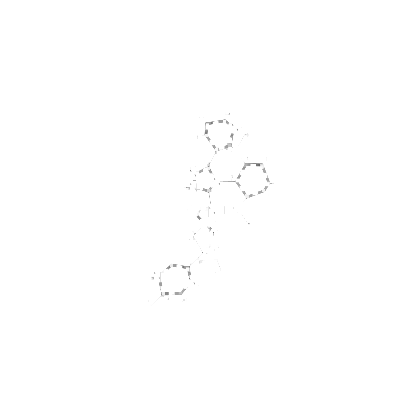 COc1cccc(OC)c1-n1c(NS(=O)(=O)[C@@H](C)[C@H](OC)c2cnc(C)cn2)nnc1-c1cccnc1